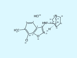 Cc1ccc2c(N[C@H]3CN4CCC3CC4)noc2c1Cl.Cl